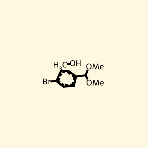 CO.COC(OC)c1ccc(Br)cc1